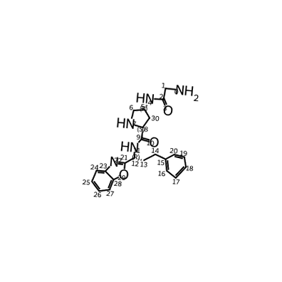 NCC(=O)N[C@H]1CN[C@H](C(=O)N[C@H](CCc2ccccc2)c2nc3ccccc3o2)C1